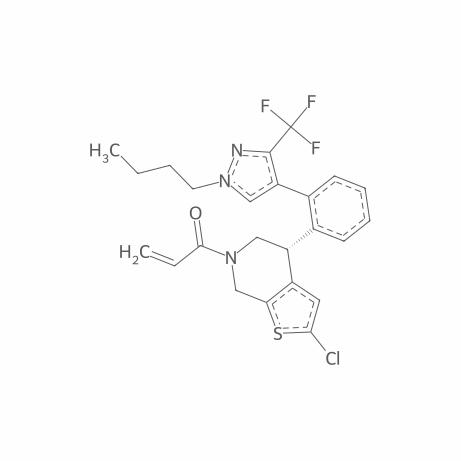 C=CC(=O)N1Cc2sc(Cl)cc2[C@@H](c2ccccc2-c2cn(CCCC)nc2C(F)(F)F)C1